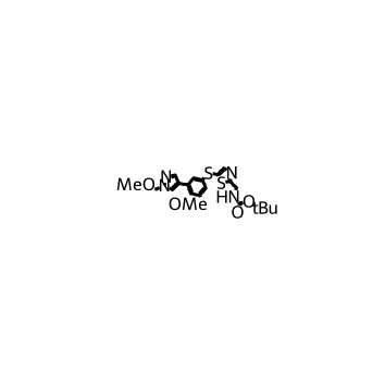 COCn1cc(-c2cc(OC)cc(Sc3cnc(CNC(=O)OC(C)(C)C)s3)c2)cn1